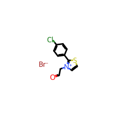 O=CC[n+]1ccsc1-c1ccc(Cl)cc1.[Br-]